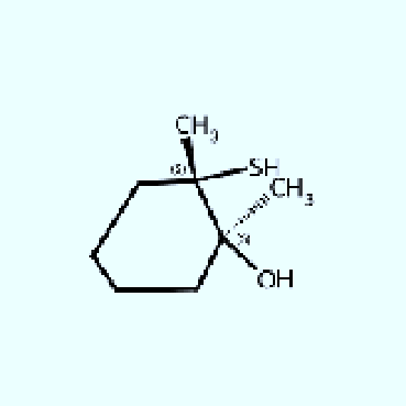 C[C@]1(O)CCCC[C@]1(C)S